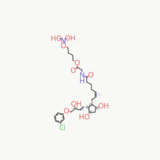 O=C(CCC/C=C\C[C@@H]1[C@@H](/C=C/[C@@H](O)COc2cccc(Cl)c2)[C@H](O)C[C@@H]1O)NCC(=O)OCCCCON(O)O